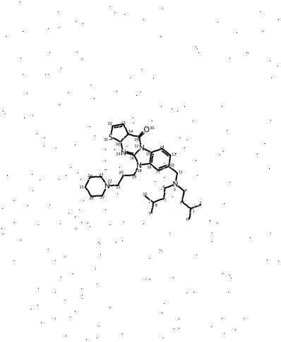 CC(C)CCN(CCC(C)C)Cc1ccc2c(c1)N(CCCN1CCCCC1)C1=NC3SC=CC3C(=O)N12